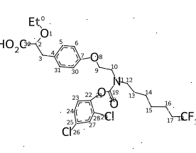 CCOC(Cc1ccc(OCCN(CCCCCCC(F)(F)F)C(=O)Oc2ccc(Cl)cc2Cl)cc1)C(=O)O